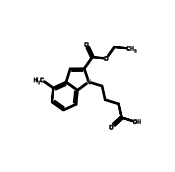 CCOC(=O)c1cc2c(C)cccc2n1CCCC(=O)O